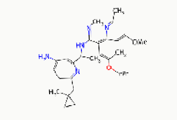 C/C=N/C(/C=C/OC)=C(/C=C(\C)OCCC)C(=N/C)\NC(C)C1=CC(N)=CCC(CC2(C)CC2)=N1